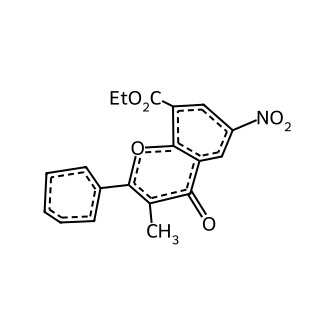 CCOC(=O)c1cc([N+](=O)[O-])cc2c(=O)c(C)c(-c3ccccc3)oc12